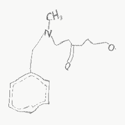 CN(Cc1ccccc1)C(=O)C[O]